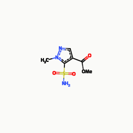 COC(=O)c1cnn(C)c1S(N)(=O)=O